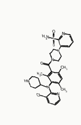 Cc1cc(C)c(N(c2ncccc2Cl)C2CCNCC2)c(C)c1C(=O)N1CCN(c2cccnc2S(N)(=O)=O)CC1